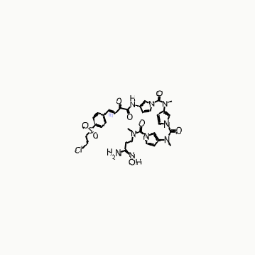 CN(CCC(N)=NO)C(=O)n1ccc(N(C)C(=O)n2ccc(N(C)C(=O)n3ccc(NC(=O)C(=O)/C=C/c4ccc(S(=O)(=O)CCCl)cc4)c3)c2)c1